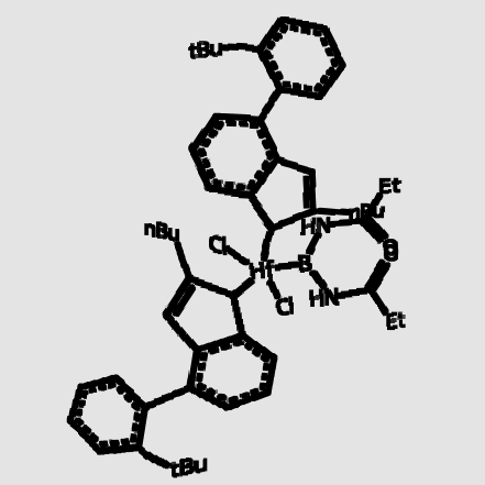 CCCCC1=Cc2c(-c3ccccc3C(C)(C)C)cccc2[CH]1[Hf]([Cl])([Cl])([B](NC(=O)CC)NC(=O)CC)[CH]1C(CCCC)=Cc2c(-c3ccccc3C(C)(C)C)cccc21